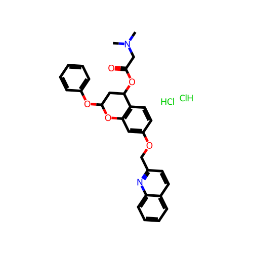 CN(C)CC(=O)OC1CC(Oc2ccccc2)Oc2cc(OCc3ccc4ccccc4n3)ccc21.Cl.Cl